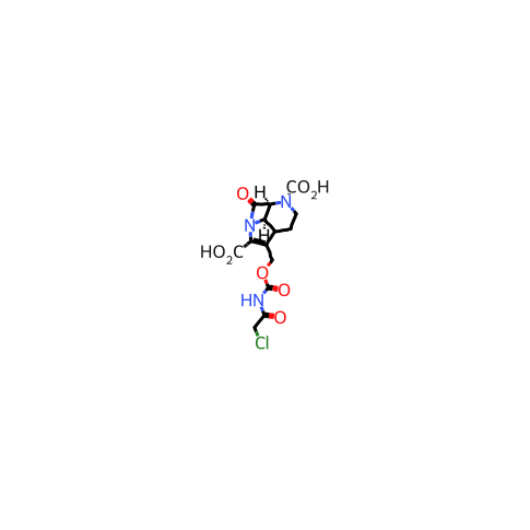 O=C(CCl)NC(=O)OCC1=C(C(=O)O)N2C(=O)[C@@H]3[C@H]2C1CCN3C(=O)O